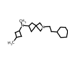 CC1CC(N(C)C2CC3(C2)CN(CCC2CCCCC2)C3)C1